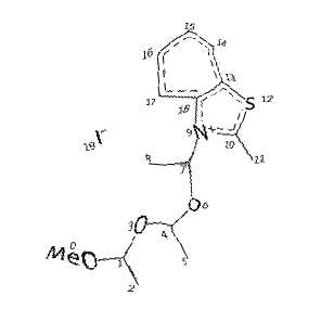 COC(C)OC(C)OC(C)[n+]1c(C)sc2ccccc21.[I-]